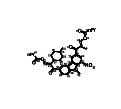 CCCC(=O)O/N=C(\C)C(=O)c1cc([N+](=O)[O-])c2c(c1)c1cc(C(=O)/C(=N/OC(=O)CCC)C3CCC(C)CC3)ccc1n2C